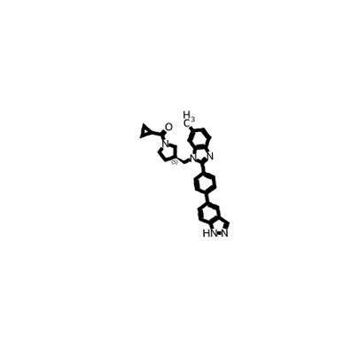 Cc1ccc2nc(-c3ccc(-c4ccc5[nH]ncc5c4)cc3)n(C[C@H]3CCN(C(=O)C4CC4)C3)c2c1